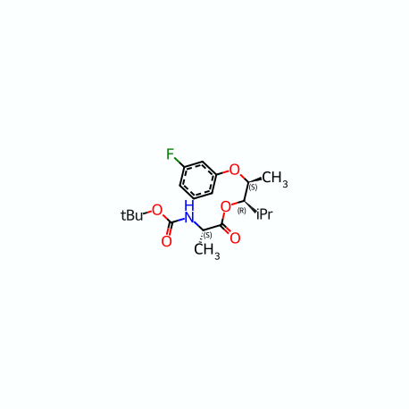 CC(C)[C@@H](OC(=O)[C@H](C)NC(=O)OC(C)(C)C)[C@H](C)Oc1cccc(F)c1